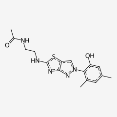 CC(=O)NCCNc1nc2nn(-c3c(C)cc(C)cc3O)cc2s1